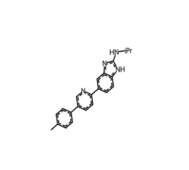 Cc1ccc(-c2ccc(-c3ccc4[nH]c(NC(C)C)nc4c3)nc2)cc1